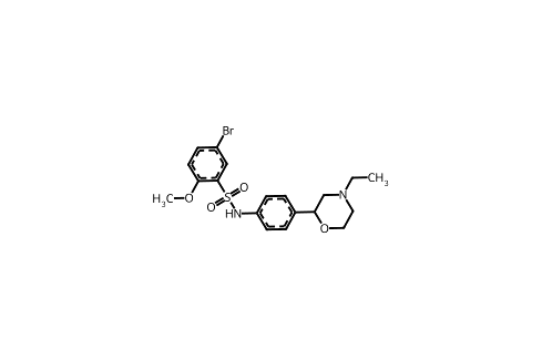 CCN1CCOC(c2ccc(NS(=O)(=O)c3cc(Br)ccc3OC)cc2)C1